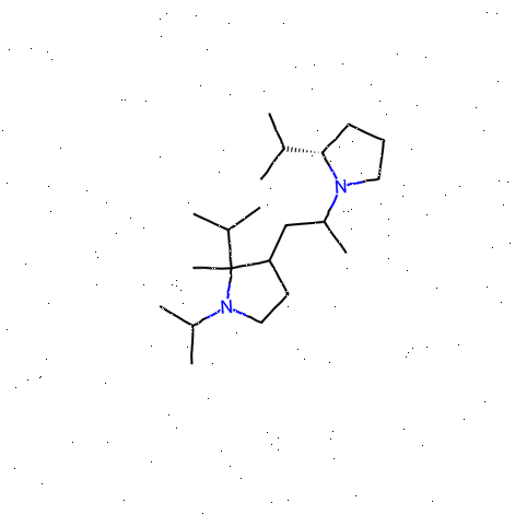 CC(C)[C@@H]1CCCN1C(C)CC1CCN(C(C)C)C1(C)C(C)C